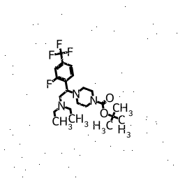 CCN(CC)CC(c1ccc(C(F)(F)F)cc1F)N1CCN(C(=O)OC(C)(C)C)CC1